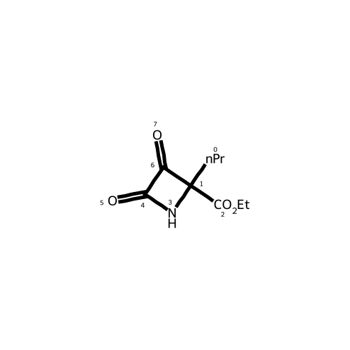 CCCC1(C(=O)OCC)NC(=O)C1=O